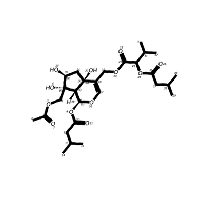 CC(=O)OC[C@]1(O)[C@H]2[C@H](OC(=O)CC(C)C)OC=C(COC(=O)C(OC(=O)CC(C)C)C(C)C)[C@@]2(O)C[C@@H]1O